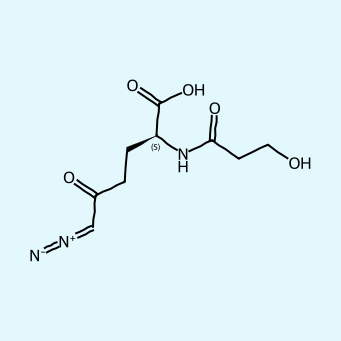 [N-]=[N+]=CC(=O)CC[C@H](NC(=O)CCO)C(=O)O